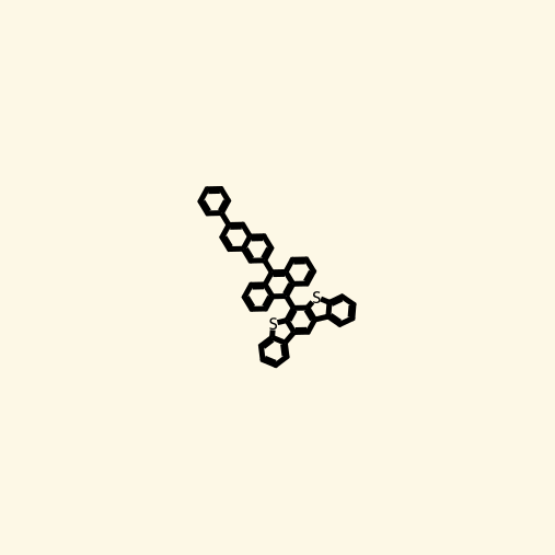 c1ccc(-c2ccc3cc(-c4c5ccccc5c(-c5c6sc7ccccc7c6cc6c5sc5ccccc56)c5ccccc45)ccc3c2)cc1